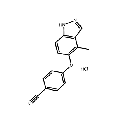 Cc1c(Oc2ccc(C#N)cc2)ccc2[nH]ncc12.Cl